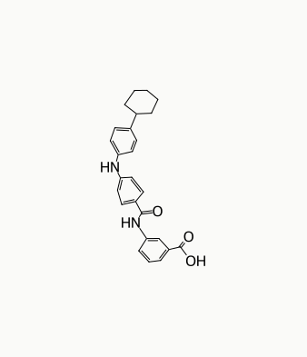 O=C(O)c1cccc(NC(=O)c2ccc(Nc3ccc(C4CCCCC4)cc3)cc2)c1